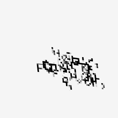 Cc1ccc(-c2nc(C(C)(C)O)ncc2C)cc1-n1c(C)nc(OCc2ccc(F)cc2F)c(C)c1=O